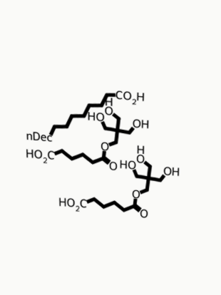 CCCCCCCCCCCCCCCCCC(=O)O.O=C(O)CCCCC(=O)OCC(CO)(CO)CO.O=C(O)CCCCC(=O)OCC(CO)(CO)CO